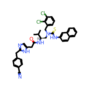 CC(C)[C@@H](CN(Cc1cccc(Cl)c1Cl)C(=S)Nc1ccc2ccccc2c1)NC(=O)Cc1cnc(Cc2ccc(C#N)cc2)[nH]1